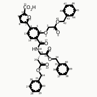 O=C(COc1cc(-c2ccc(C(=O)O)o2)ccc1C(=O)N[C@@H](CC(=O)OCc1ccccc1)C(=O)OCc1ccccc1)OCc1ccccc1